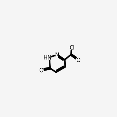 O=C(Cl)c1ccc(=O)[nH]n1